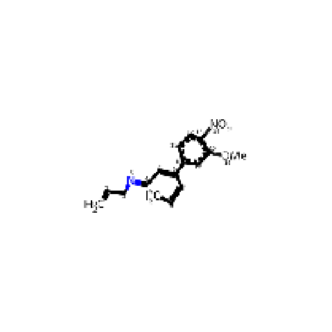 C=CC/N=C/C=C(\C=C/C)c1ccc([N+](=O)[O-])c(OC)c1